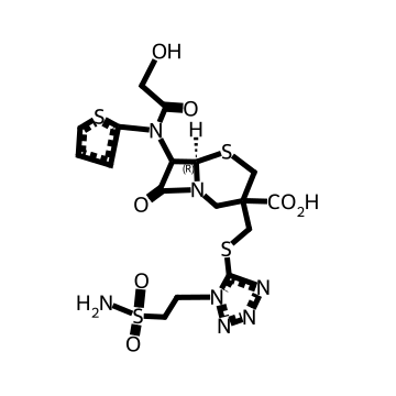 NS(=O)(=O)CCn1nnnc1SCC1(C(=O)O)CS[C@@H]2C(N(C(=O)CO)c3cccs3)C(=O)N2C1